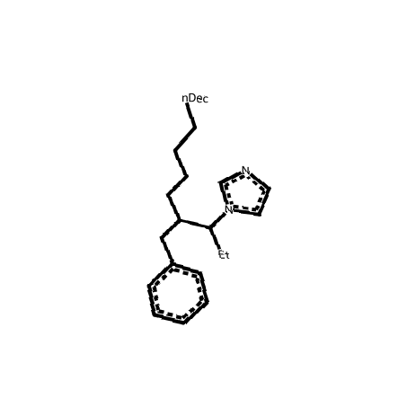 CCCCCCCCCCCCCCC(Cc1ccccc1)C(CC)n1ccnc1